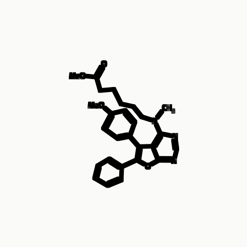 COC(=O)CCCCCN(C)c1ncnc2oc(-c3ccccc3)c(-c3ccc(OC)cc3)c12